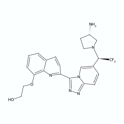 N[C@H]1CCN([C@H](c2ccc3nnc(-c4ccc5cccc(OCCO)c5n4)n3c2)C(F)(F)F)C1